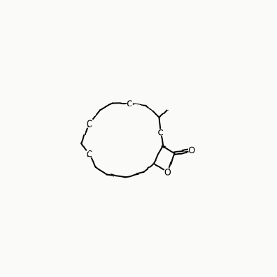 CC1CCCCCCCCCCCC2OC(=O)C2C1